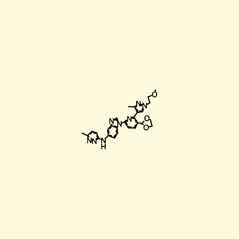 COCCn1cc(-c2nc(-n3cnc4cc(Nc5ccc(C)nn5)ccc43)ccc2C2OCCO2)c(C)n1